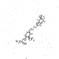 C=C(O)COc1ccc(SCCCc2cc3ccc(C(F)(F)F)cc3s2)cc1C(F)(F)F